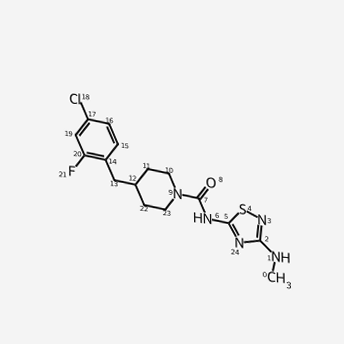 CNc1nsc(NC(=O)N2CCC(Cc3ccc(Cl)cc3F)CC2)n1